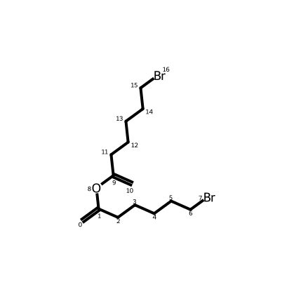 C=C(CCCCCBr)OC(=C)CCCCCBr